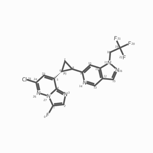 Fc1cnc2c([C@@H]3CC3c3cc4c(cn3)cnn4CC(F)(F)F)cc(Cl)nn12